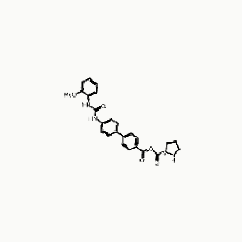 COc1ccccc1NC(=O)Nc1ccc(-c2ccc(C(=O)OC(=O)[C@H]3CCCN3)cc2)cc1